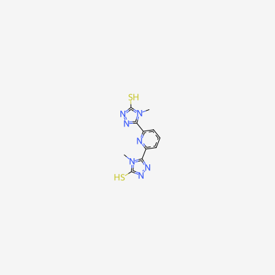 Cn1c(S)nnc1-c1cccc(-c2nnc(S)n2C)n1